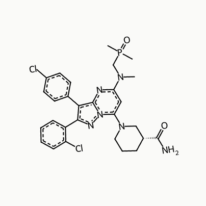 CN(CP(C)(C)=O)c1cc(N2CCC[C@@H](C(N)=O)C2)n2nc(-c3ccccc3Cl)c(-c3ccc(Cl)cc3)c2n1